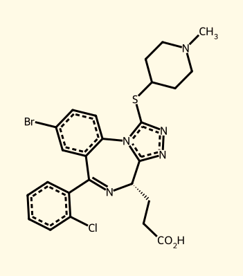 CN1CCC(Sc2nnc3n2-c2ccc(Br)cc2C(c2ccccc2Cl)=N[C@H]3CCC(=O)O)CC1